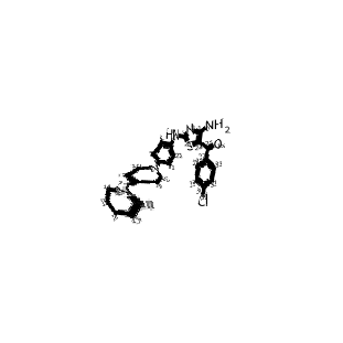 Nc1nc(Nc2ccc(N3CCC(N4CCCCC4)CC3)cc2)sc1C(=O)c1ccc(Cl)cc1